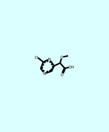 COC(C(=O)O)c1cncc(Cl)n1